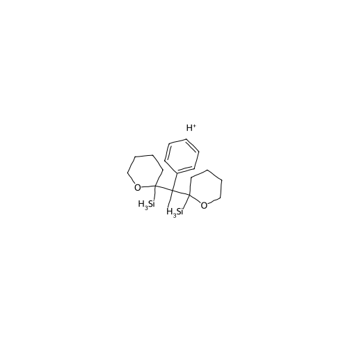 CC(c1ccccc1)(C1([SiH3])CCCCO1)C1([SiH3])CCCCO1.[H+]